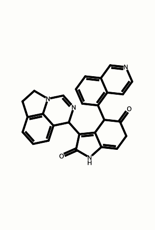 O=C1NC2=CCC(=O)C(c3cccc4cnccc34)C2=C1C1N=CN2CCc3cccc1c32